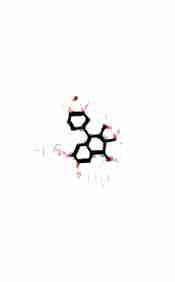 COc1cc2c(C(C)=O)c3c(c(-c4ccc5c(c4)OCO5)c2cc1OC)C(=O)OC3